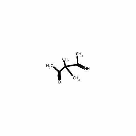 CC(=N)C(C)(C)C(C)=O